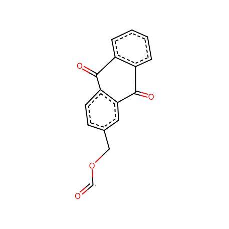 O=[C]OCc1ccc2c(c1)C(=O)c1ccccc1C2=O